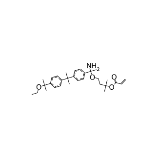 C=CC(=O)OC(C)(C)CCOC(C)(N)c1ccc(C(C)(C)c2ccc(C(C)(C)OCC)cc2)cc1